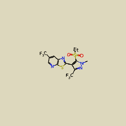 CCS(=O)(=O)c1c(-c2nc3cc(C(F)(F)F)cnc3s2)c(C(F)(F)F)nn1C